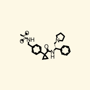 CS(=O)(=O)NCc1ccc(C2(C(=O)N[C@H](CN3CCCC3)c3ccccc3)CC2)cc1